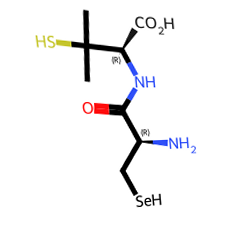 CC(C)(S)[C@H](NC(=O)[C@@H](N)C[SeH])C(=O)O